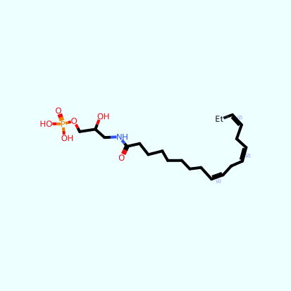 CC/C=C\C/C=C\C/C=C\CCCCCCCC(=O)NCC(O)COP(=O)(O)O